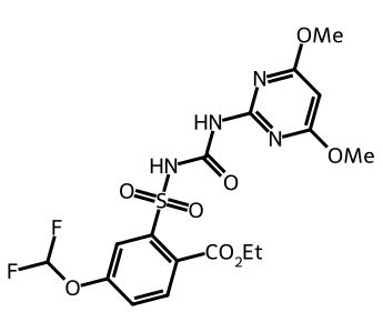 CCOC(=O)c1ccc(OC(F)F)cc1S(=O)(=O)NC(=O)Nc1nc(OC)cc(OC)n1